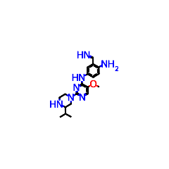 COc1cnc(N2CCNC(C(C)C)C2)nc1Nc1ccc(N)c(C=N)c1